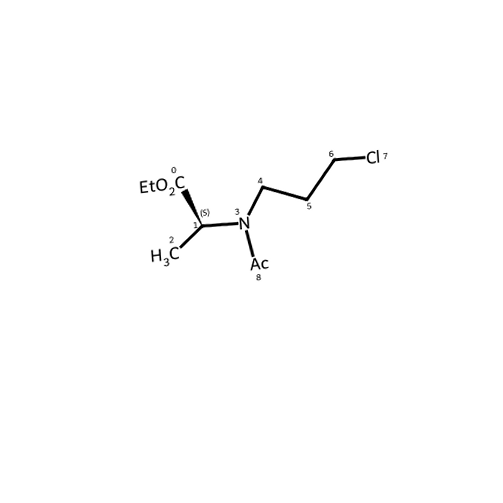 CCOC(=O)[C@H](C)N(CCCCl)C(C)=O